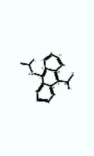 CC(C)Sc1c2ccccc2c(C(C)C)c2ccccc12